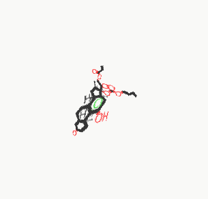 CCCCOC(=O)O[C@]1(C(=O)COC(=O)CC)[C@H](C)C[C@H]2[C@@H]3CCC4=CC(=O)C=C[C@]4(C)[C@@]3(Cl)C(O)C[C@@]21C